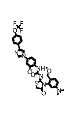 COCc1ccc(N(C)C)cc1N1C(=O)CSC1=NC(=O)Nc1ccc(-n2cnc(-c3ccc(OC(F)(F)F)cc3)c2)cc1Cl